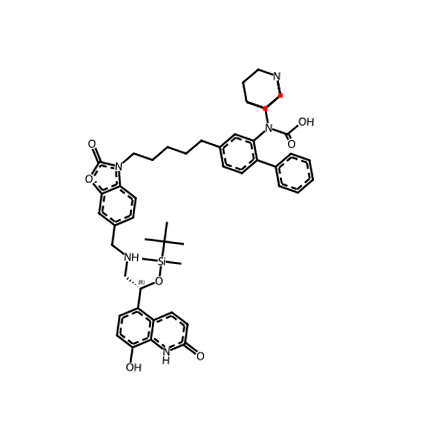 CC(C)(C)[Si](C)(C)O[C@@H](CNCc1ccc2c(c1)oc(=O)n2CCCCCc1ccc(-c2ccccc2)c(N(C(=O)O)C2CN3CCC2CC3)c1)c1ccc(O)c2[nH]c(=O)ccc12